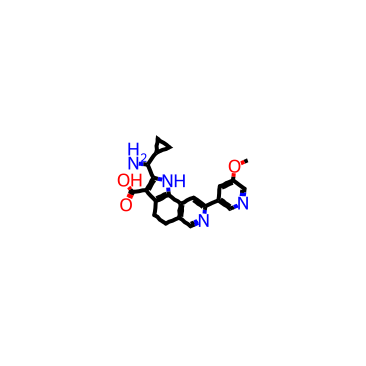 COc1cncc(-c2cc3c(cn2)CCc2c-3[nH]c(C(N)C3CC3)c2C(=O)O)c1